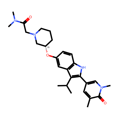 Cc1cc(-c2[nH]c3ccc(O[C@H]4CCCN(CC(=O)N(C)C)C4)cc3c2C(C)C)cn(C)c1=O